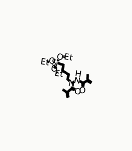 C=C(C)C(=O)NN(CCCC[Si](OCC)(OCC)OCC)C(=O)C(=C)C